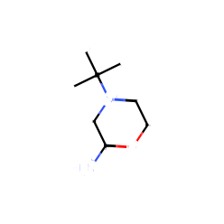 CC(C)(C)N1CCOC(N)C1